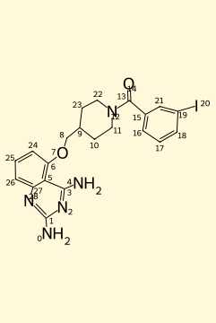 Nc1nc(N)c2c(OCC3CCN(C(=O)c4cccc(I)c4)CC3)cccc2n1